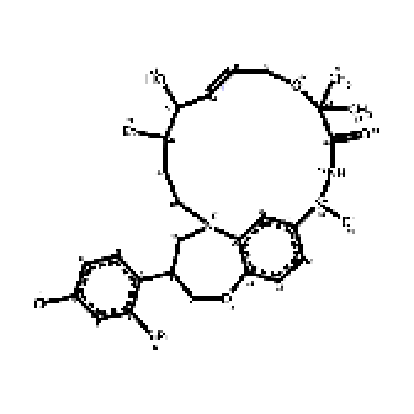 CCCc1cc(Cl)ccc1C1COc2ccc3cc2N(CCC(CC)C(O)/C=C/COC(C)(C)C(=O)N[S+]3[O-])C1